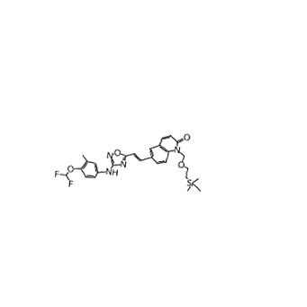 Cc1cc(Nc2noc(C=Cc3ccc4c(ccc(=O)n4COCC[Si](C)(C)C)c3)n2)ccc1OC(F)F